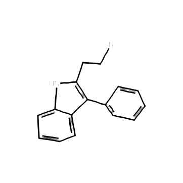 NCCc1[nH]c2ccccc2c1-c1ccccc1